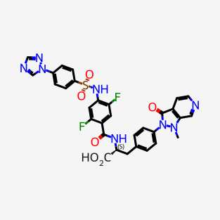 Cn1c2cnccc2c(=O)n1-c1ccc(C[C@H](NC(=O)c2cc(F)c(NS(=O)(=O)c3ccc(-n4cncn4)cc3)cc2F)C(=O)O)cc1